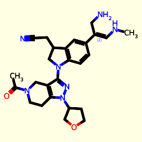 CN/C=C(\CN)c1ccc2c(c1)C(CC#N)CN2c1nn(C2CCOC2)c2c1CN(C(C)=O)CC2